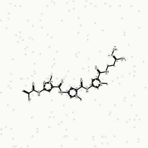 C=C(Br)C(=O)Nc1cc(C(=O)Nc2cc(C(=O)Nc3cc(C(=O)NCCC(N)=NO)n(C)c3)n(C)c2)n(C)n1